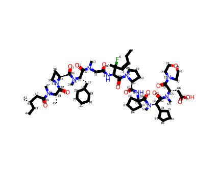 CC/C=C\C(C)(F)[C@H](NC(=O)CN(C)C(=O)[C@H](CC1CCCCC1)N(C)C(=O)[C@@H]1CCN1C(=O)[C@H](C)N(C)C(=O)C[C@@H](C)CC)C(=O)N1CCC[C@H]1C(=O)NC1(C(=O)N(C)[C@H](C(=O)N(C)[C@@H](CC(=O)O)C(=O)N2CCOCC2)C2CCCC2)CCCC1